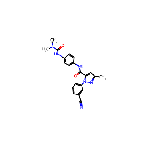 Cc1cc(C(=O)Nc2ccc(NC(=O)N(C)C)cc2)n(-c2cccc(C#N)c2)n1